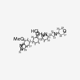 COc1cc(-c2ccc(-c3ccc(C4CN(C5CCOCC5)C4)nn3)c(O)c2)cc2cn(C)nc12.Cl